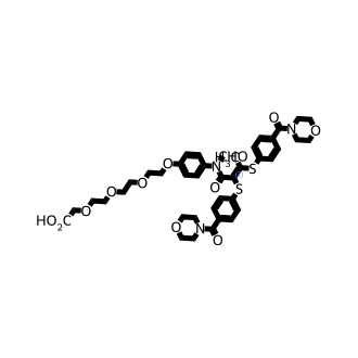 C/C(Sc1ccc(C(=O)N2CCOCC2)cc1)=C(/Sc1ccc(C(=O)N2CCOCC2)cc1)C(=O)N(C=O)c1ccc(OCCOCCOCCOCC(=O)O)cc1